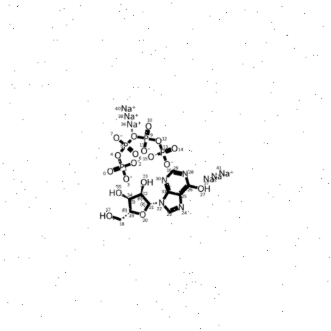 O=P([O-])([O-])OP(=O)([O-])OP(=O)([O-])OP(=O)([O-])[O-].OC[C@H]1O[C@@H](n2cnc3c(O)ncnc32)[C@H](O)[C@@H]1O.[Na+].[Na+].[Na+].[Na+].[Na+].[Na+]